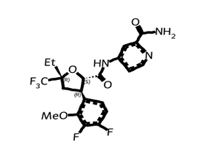 CC[C@]1(C(F)(F)F)C[C@H](c2ccc(F)c(F)c2OC)[C@@H](C(=O)Nc2ccnc(C(N)=O)c2)O1